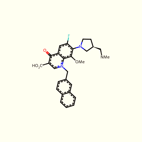 CNC[C@@H]1CCN(c2c(F)cc3c(=O)c(C(=O)O)cn(Cc4ccc5ccccc5c4)c3c2OC)C1